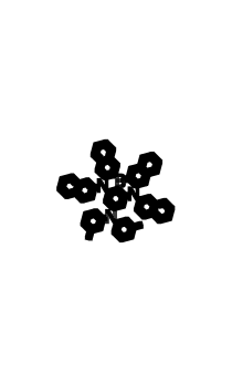 Cc1cccc(N(c2cccc(C)c2)c2cc3c4c(c2)N(c2ccc5ccccc5c2)c2cc5ccccc5cc2B4c2cc4ccccc4cc2N3c2ccc3ccccc3c2)c1